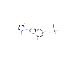 Cc1ccc(C)n1-c1nc2cc(B3OC(C)(C)C(C)(C)O3)cc(C)n2n1